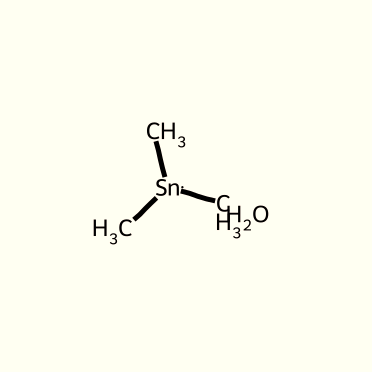 O.[CH3][Sn]([CH3])[CH3]